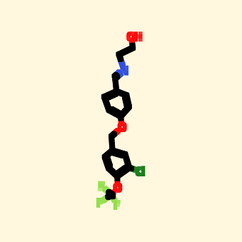 OCC/N=C/c1ccc(OCc2ccc(OC(F)(F)F)c(Cl)c2)cc1